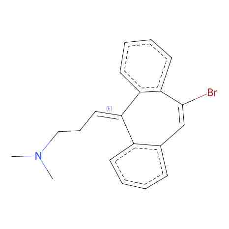 CN(C)CC/C=C1\c2ccccc2C=C(Br)c2ccccc21